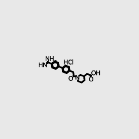 Cl.N=C(N)c1ccc(-c2ccc(CC(=O)N3CCCC(CC(=O)O)C3)cc2)cc1